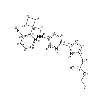 CCOC(=O)Oc1csc(-c2ccc(NCC3(c4ncccc4F)CCC3)nn2)n1